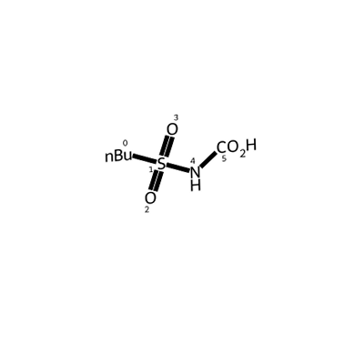 CCCCS(=O)(=O)NC(=O)O